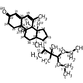 C[SiH2]OC(O[SiH2]C)C(C)(C)C(C)[C@H]1CC[C@H]2[C@@H]3C(C)=CC4=CC(=O)CC[C@]4(C)[C@H]3CC[C@]12C